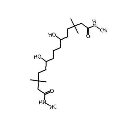 [C-]#[N+]NC(=O)CC(C)(C)CCC(O)CCCC(O)CCC(C)(C)CC(=O)NC#N